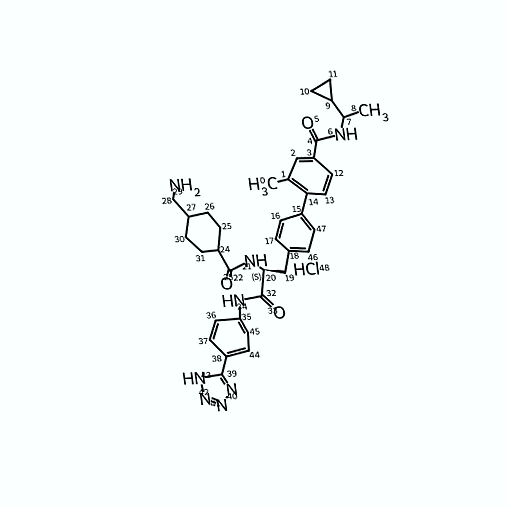 Cc1cc(C(=O)NC(C)C2CC2)ccc1-c1ccc(C[C@H](NC(=O)C2CCC(CN)CC2)C(=O)Nc2ccc(-c3nnn[nH]3)cc2)cc1.Cl